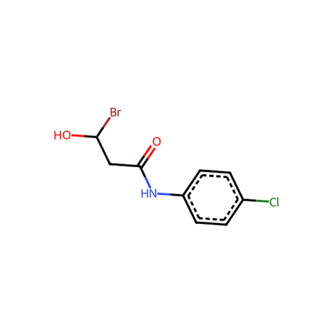 O=C(CC(O)Br)Nc1ccc(Cl)cc1